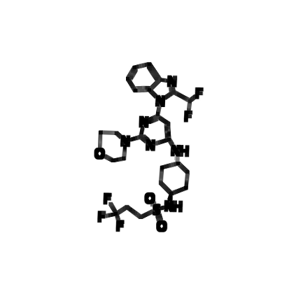 O=S(=O)(CCC(F)(F)F)N[C@H]1CC[C@H](Nc2cc(-n3c(C(F)F)nc4ccccc43)nc(N3CCOCC3)n2)CC1